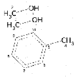 CO.CO.Cc1ccccc1